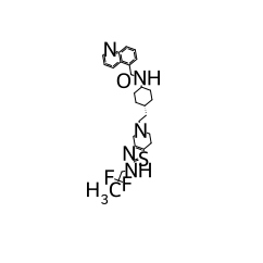 CC(F)(F)CNc1nc2c(s1)CCN(CC[C@H]1CC[C@H](NC(=O)c3cccc4ncccc34)CC1)C2